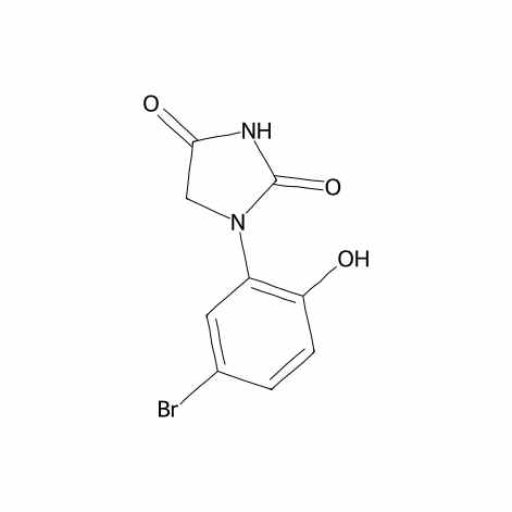 O=C1CN(c2cc(Br)ccc2O)C(=O)N1